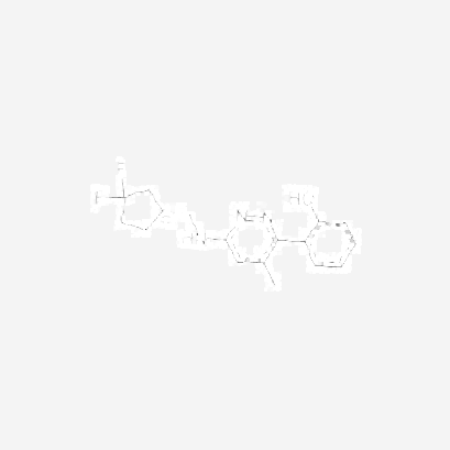 Cc1cc(NC[C@@H]2CCC(F)(F)C2)nnc1-c1ccccc1O